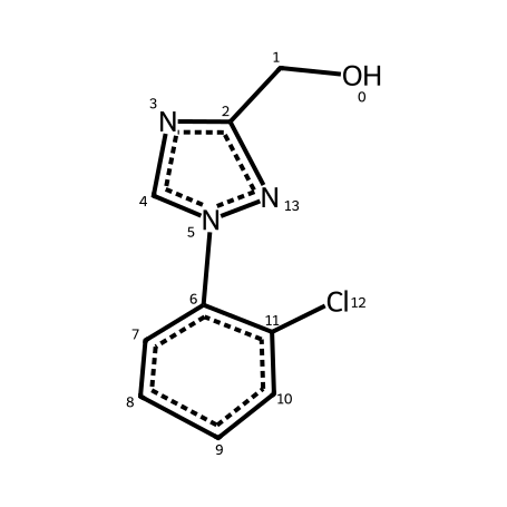 OCc1ncn(-c2ccccc2Cl)n1